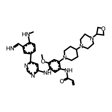 C=CC(=O)Nc1cc(Nc2cc(-c3ccc(NC)c(C=N)c3)ncn2)c(OC)cc1N1CCC(N2CCN(C3COC3)CC2)CC1